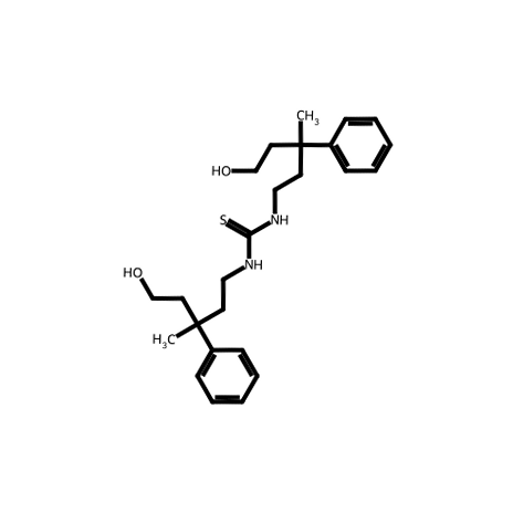 CC(CCO)(CCNC(=S)NCCC(C)(CCO)c1ccccc1)c1ccccc1